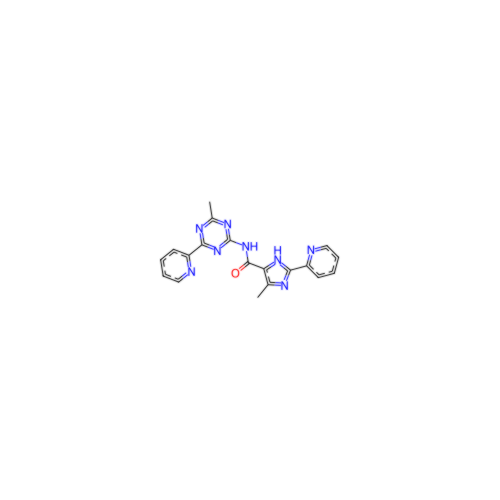 Cc1nc(NC(=O)c2[nH]c(-c3ccccn3)nc2C)nc(-c2ccccn2)n1